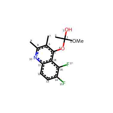 COC(C)(O)Oc1c(C)c(C)nc2ccc(F)c(F)c12